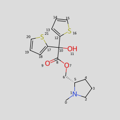 CN1CCC[C@H]1COC(=O)C(O)(c1cccs1)c1cccs1